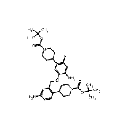 CC(C)(C)OC(=O)N1CCC(c2cc(OCc3cc(N)ccc3C3CCN(C(=O)OC(C)(C)C)CC3)c(N)cc2F)CC1